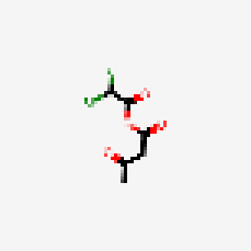 CC(=O)CC(=O)OC(=O)C(Cl)Cl